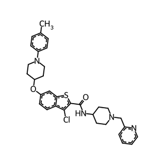 Cc1ccc(N2CCC(Oc3ccc4c(Cl)c(C(=O)NC5CCN(Cc6ccccn6)CC5)sc4c3)CC2)cc1